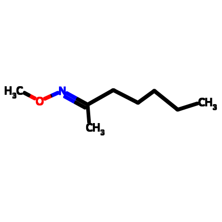 CCCCC/C(C)=N/OC